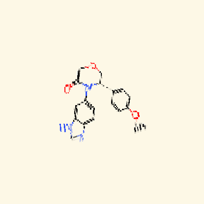 CCCOc1ccc([C@H]2COCC(=O)N2c2ccc3nc[nH]c3c2)cc1